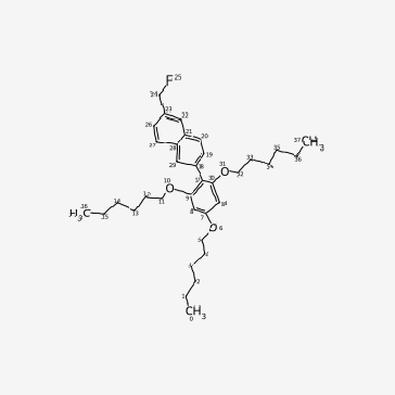 CCCCCCOc1cc(OCCCCCC)c(-c2ccc3cc(CF)ccc3c2)c(OCCCCCC)c1